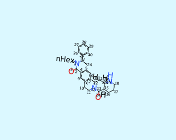 CCCCCCN(C(=O)c1ccc2c(c1)CCN1C(=O)[C@@H]3CCCN[C@@H]3C[C@H]21)[C@H](C)c1ccccc1